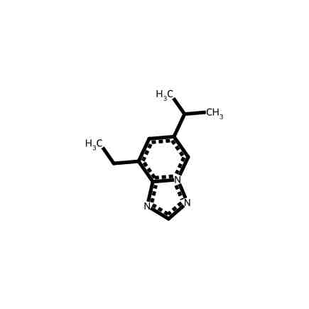 CCc1cc(C(C)C)cn2ncnc12